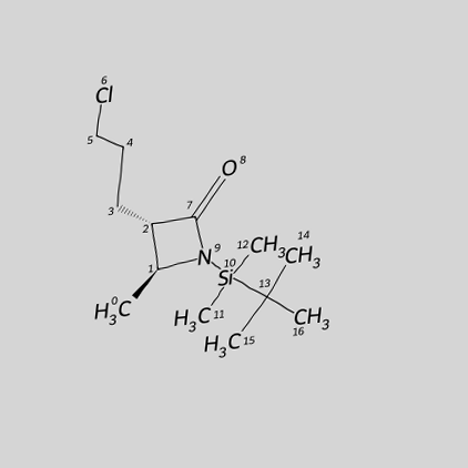 C[C@H]1[C@H](CCCCl)C(=O)N1[Si](C)(C)C(C)(C)C